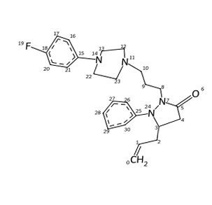 C=CCC1CC(=O)N(CCCN2CCN(c3ccc(F)cc3)CC2)N1c1ccccc1